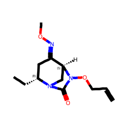 C=CCON1C(=O)N2C[C@H]1C(=NOC)C[C@H]2CC